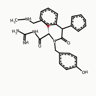 CNCCC[C@@H](C(=O)NC(=N)N)N(Cc1ccc(O)cc1)C(=O)C(c1ccccc1)c1ccccc1